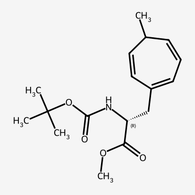 COC(=O)[C@@H](CC1=CC=CC(C)C=C1)NC(=O)OC(C)(C)C